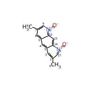 Cc1cc2cc3cc(C)c[n+]([O-])c3cc2[n+]([O-])c1